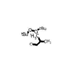 CC(C)(C)OOC(C)(C)C.CC(C)C=O